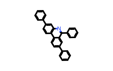 c1ccc(-c2ccc3c(c2)nc(-c2ccccc2)c2cc(-c4ccccc4)ccc23)cc1